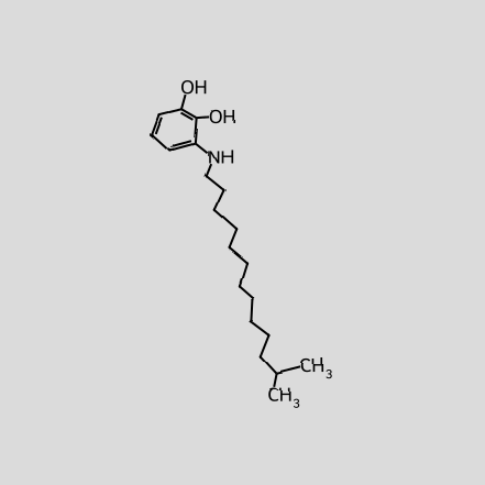 CC(C)CCCCCCCCCCCNc1cccc(O)c1O